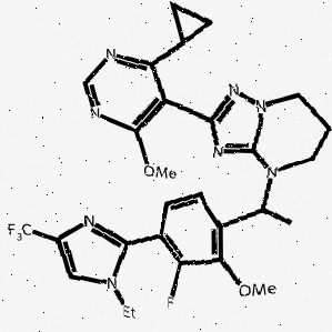 CCn1cc(C(F)(F)F)nc1-c1ccc(C(C)N2CCCn3nc(-c4c(OC)ncnc4C4CC4)nc32)c(OC)c1F